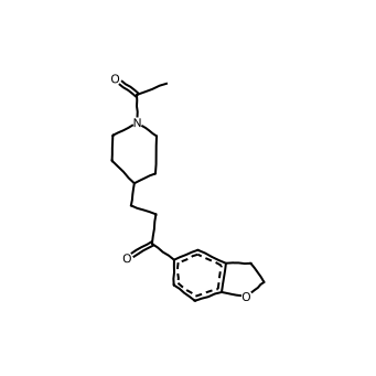 CC(=O)N1CCC(CCC(=O)c2ccc3c(c2)CCO3)CC1